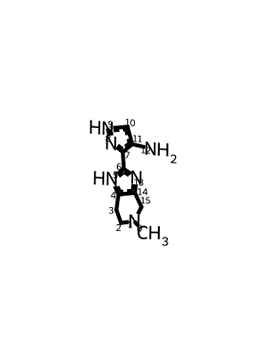 CN1CCc2[nH]c(-c3n[nH]cc3N)nc2C1